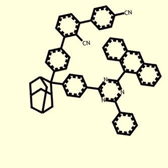 N#Cc1ccc(-c2cccc(-c3ccc(C4(c5ccc(-c6nc(-c7ccccc7)nc(-c7c8ccccc8cc8ccccc78)n6)cc5)C5CC6CC(C5)CC4C6)cc3)c2C#N)cc1